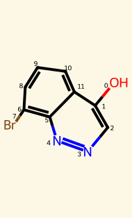 Oc1cnnc2c(Br)cccc12